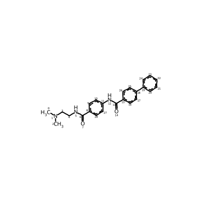 CN(C)CCNC(=O)c1ccc(NC(=O)c2ccc(-c3ccccc3)cc2)cc1